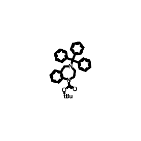 CC(C)(C)OC(=O)N1CCN(C(c2ccccc2)(c2ccccc2)c2ccccc2)Cc2ccccc21